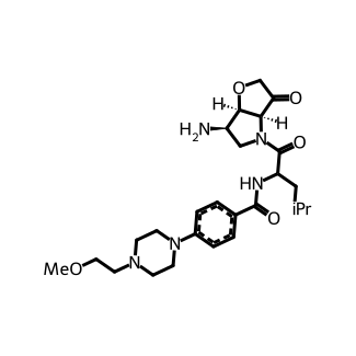 COCCN1CCN(c2ccc(C(=O)NC(CC(C)C)C(=O)N3C[C@@H](N)[C@H]4OCC(=O)[C@H]43)cc2)CC1